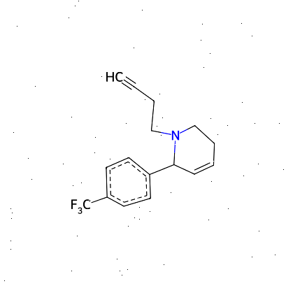 C#CCCN1CCC=CC1c1ccc(C(F)(F)F)cc1